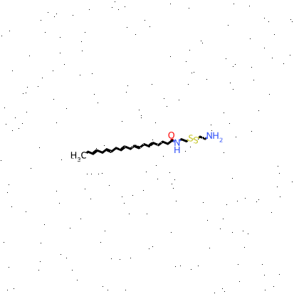 CCC=CCC=CCC=CCC=CCC=CCCCC(=O)NCCSSCCN